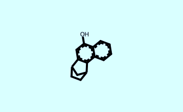 Oc1cc2c(c3ccccc13)C1CCC2C1